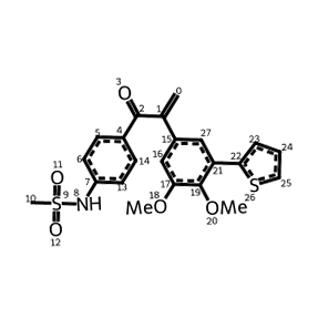 C=C(C(=O)c1ccc(NS(C)(=O)=O)cc1)c1cc(OC)c(OC)c(-c2cccs2)c1